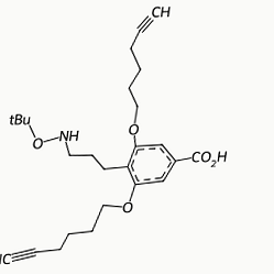 C#CCCCCOc1cc(C(=O)O)cc(OCCCCC#C)c1CCCNOC(C)(C)C